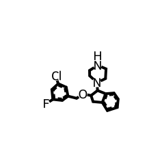 Fc1cc(Cl)cc(COC2Cc3ccccc3C2N2CCNCC2)c1